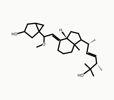 COC(/C=C1\CCCC2(C)C([C@H](C)/C=C/[C@H](C)C(C)(C)O)CC[C@@H]12)C12CC(O)CC1C2